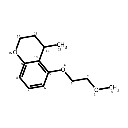 COCCOc1cccc2c1C(C)CCO2